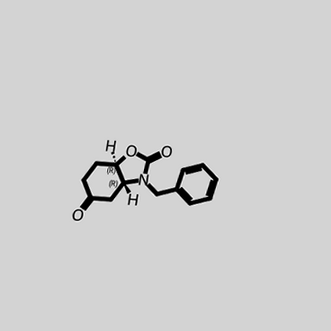 O=C1CC[C@H]2OC(=O)N(Cc3ccccc3)[C@@H]2C1